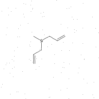 C=CC[Si](C)CC=C